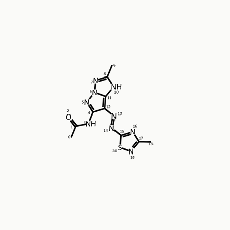 CC(=O)Nc1nn2nc(C)[nH]c2c1/N=N/c1nc(C)ns1